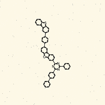 c1ccc(-c2ccc(-c3nc(-c4ccccc4)nc(-c4ccc5c(c4)oc4ccc(-c6ccc(-c7ccc8sc9ccccc9c8c7)cc6)cc45)n3)cc2)cc1